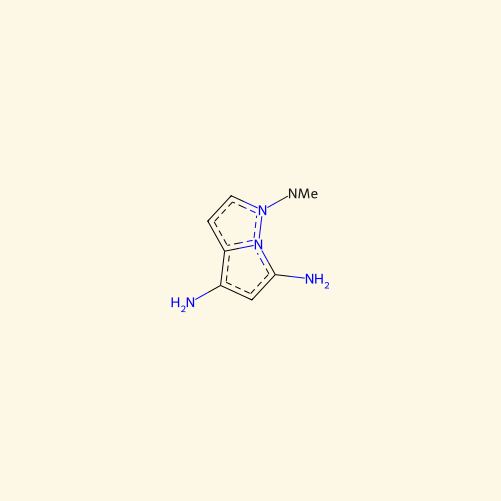 CNn1ccc2c(N)cc(N)n21